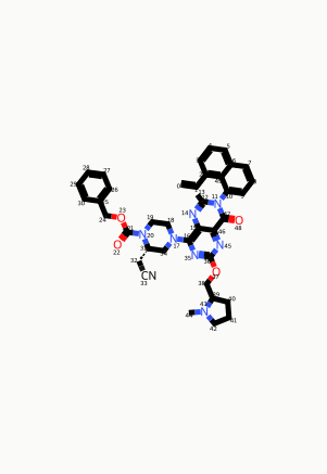 C=Cc1cccc2cccc(-n3c(C)nc4c(N5CCN(C(=O)OCc6ccccc6)[C@@H](CC#N)C5)nc(OCC5CCCN5C)nc4c3=O)c12